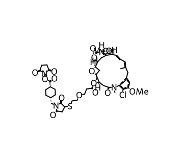 COc1cc2cc(c1Cl)N(C)C(=O)C[C@H](OC(=O)CCOCCSC1CC(=O)N(C[C@H]3CC[C@H](C(=O)ON4C(=O)CCC4=O)CC3)C1=O)[C@@]1(C)C[C@@H](O1)[C@@H]1C[C@@](O)(NC(=O)O1)[C@H](OC)/C=C/C=C(\C)C2